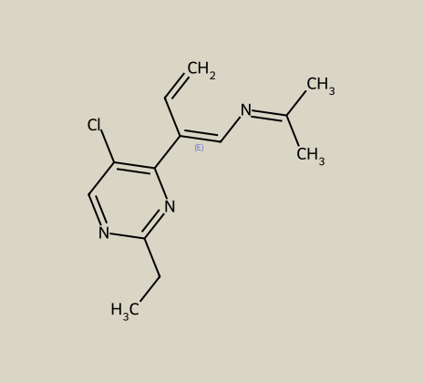 C=C/C(=C\N=C(C)C)c1nc(CC)ncc1Cl